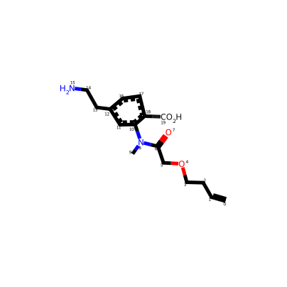 C=CCCOCC(=O)N(C)c1cc(CCN)ccc1C(=O)O